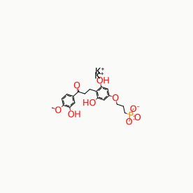 COc1ccc(C(=O)CCc2c(O)cc(OCCCP(=O)([O-])[O-])cc2O)cc1O.[K+].[K+]